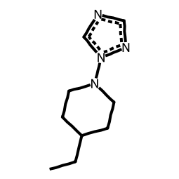 CCC1CCN(n2cncn2)CC1